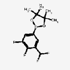 CC1(C)OB(c2cc(F)c(F)c(C(F)F)c2)OC1(C)C